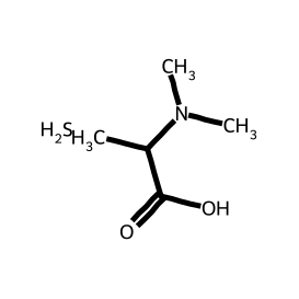 CC(C(=O)O)N(C)C.S